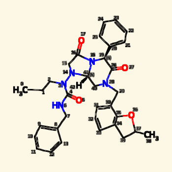 CCCN(C(=O)NCc1ccccc1)N1CC(=O)N2[C@@H](c3ccccc3)C(=O)N(Cc3cccc4c3OC(C)C4)C[C@@H]21